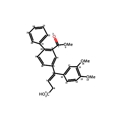 COC(=O)c1cc(C(=CCC(=O)O)c2ccc(OC)c(OC)c2)ccc1-c1ccccc1